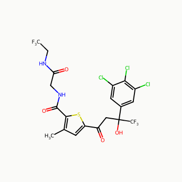 Cc1cc(C(=O)CC(O)(c2cc(Cl)c(Cl)c(Cl)c2)C(F)(F)F)sc1C(=O)NCC(=O)NCC(F)(F)F